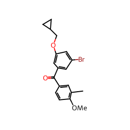 COc1ccc(C(=O)c2cc(Br)cc(OCC3CC3)c2)cc1C